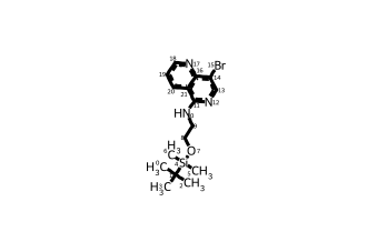 CC(C)(C)[Si](C)(C)OCCNc1ncc(Br)c2ncccc12